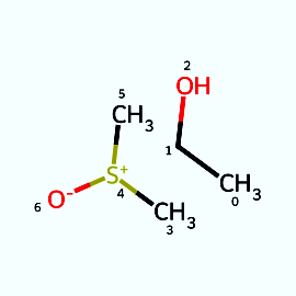 CCO.C[S+](C)[O-]